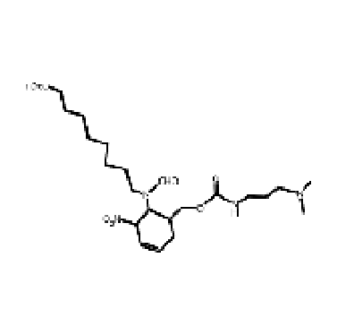 CCCCCCCCCCCCCCCCCCN(C=O)C1C(COC(=O)NCCCN(C)C)CC=CC1[N+](=O)[O-]